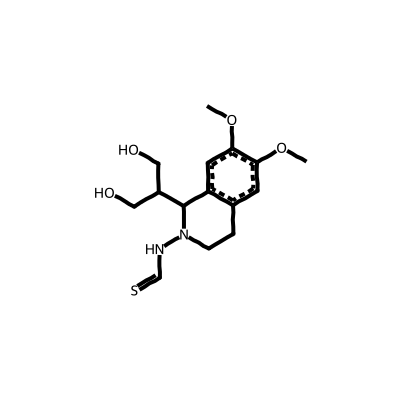 COc1cc2c(cc1OC)C(C(CO)CO)N(NC=S)CC2